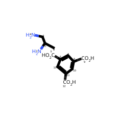 CC(N)CN.O=C(O)c1cc(C(=O)O)cc(C(=O)O)c1